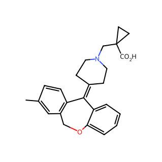 Cc1ccc2c(c1)COc1ccccc1C2=C1CCN(CC2(C(=O)O)CC2)CC1